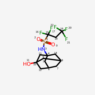 O=S(=O)(NC12CC3CC(CC(O)(C3)C1)C2)C(F)(F)CC(F)(F)F